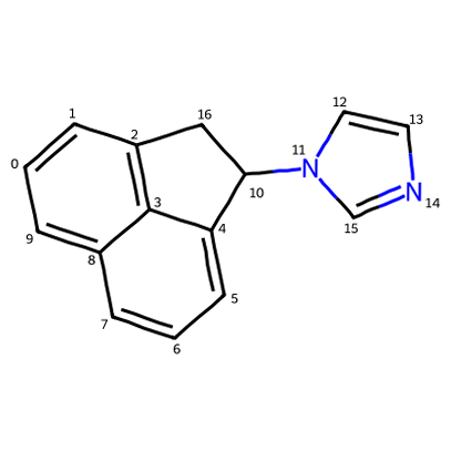 c1cc2c3c(cccc3c1)C(n1ccnc1)C2